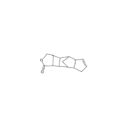 O=C1OCC2C1C1C3CC(C4C=CCC43)C21